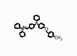 Cc1ccc(COc2ccc(N(c3ccccc3)c3ccc(C=NN(c4ccccc4)c4ccccc4)cc3)cc2)cc1